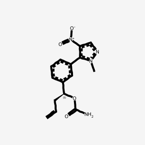 C=CC[C@H](OC(N)=O)c1cccc(-c2c([N+](=O)[O-])cnn2C)c1